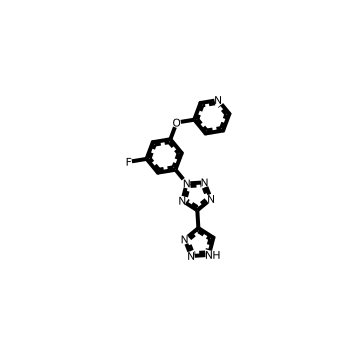 Fc1cc(Oc2cccnc2)cc(-n2nnc(-c3c[nH]nn3)n2)c1